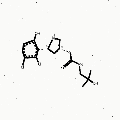 CC(C)(O)CNC(=O)C[C@H]1CN[C@@H](c2c(O)ccc(Cl)c2Cl)C1